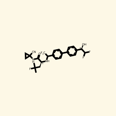 CC(C)(F)C[C@H](NC(c1ccc(-c2ccc([C@@H](O)C(F)F)cc2)cc1)C(F)(F)F)C(=O)NC1(C#N)CC1